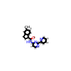 Cc1ccc2c(c1)CCC2C(=O)Nc1ccnc(-c2ccccn2)n1